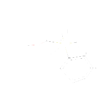 COC[SH](C)(C)(C)c1ccccc1